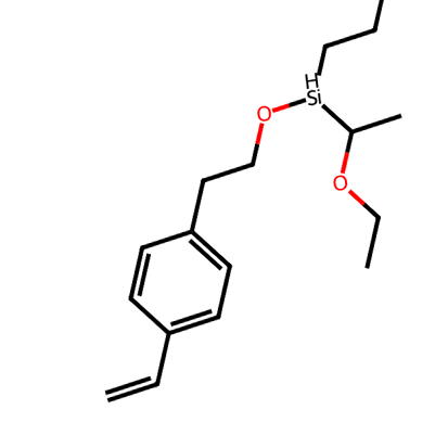 C=Cc1ccc(CCO[SiH](CCC)C(C)OCC)cc1